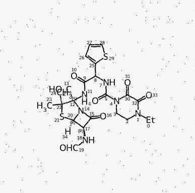 CCN1CCN(C(=O)NC(C(=O)N[C@@]2(C(=O)O)N3C(=O)[C@@H](NC=O)[C@H]3SC2(C)C)c2cccs2)C(=O)C1=O